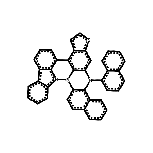 c1ccc2c(N3c4cc5sccc5c5c4B(c4ccc6ccccc6c43)n3c4ccccc4c4cccc-5c43)cccc2c1